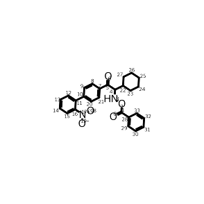 O=C(ONC(C(=O)c1ccc(-c2ccccc2[N+](=O)[O-])cc1)C1CCCCC1)c1ccccc1